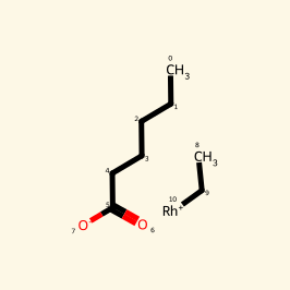 CCCCCC(=O)[O-].C[CH2][Rh+]